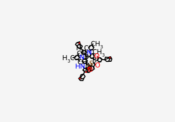 Cc1cc(C)c(N2c3cc4c(cc3B3c5cc6c(cc5N(c5c(C)cc(C)cc5C)c5cc(C78CC9CC(CC(C9)C7)C8)cc2c53)Oc2cc(C35CC7CC(CC(C7)C3)C5)cc3c2B6c2sc5ccccc5c2O3)B2c3sc5ccccc5c3Oc3cc(C56CC7CC(CC(C7)C5)C6)cc(c32)N4)c(C)c1